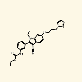 CCOC(=O)Nc1cccc(-c2c(C#N)c3ccc(OCCCn4ccnn4)cc3n2CC)c1